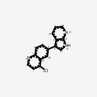 Clc1ccnc2ccc(-c3c[nH]c4ncccc34)cc12